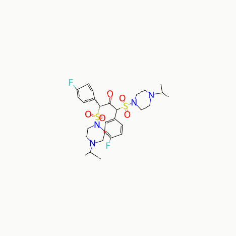 CC(C)N1CCN(S(=O)(=O)C(C(=O)C(c2ccc(F)cc2)S(=O)(=O)N2CCN(C(C)C)CC2)c2ccc(F)cc2)CC1